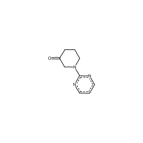 O=C1CCCN(c2ncccn2)C1